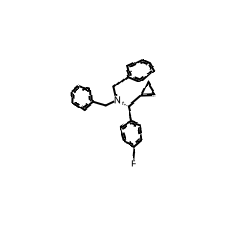 Fc1ccc([C@@H](C2CC2)N(Cc2ccccc2)Cc2ccccc2)cc1